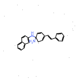 NC1(Nc2ccc3ccccc3c2)C=CC(C=Cc2ccccc2)=CC1